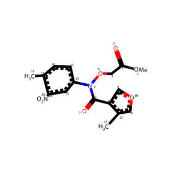 COC(=O)CON(C(=O)c1cocc1C)c1ccc(C)c([N+](=O)[O-])c1